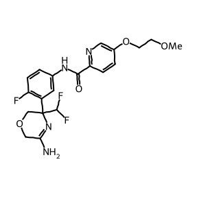 COCCOc1ccc(C(=O)Nc2ccc(F)c(C3(C(F)F)COCC(N)=N3)c2)nc1